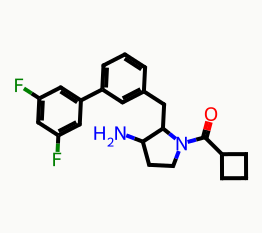 NC1CCN(C(=O)C2CCC2)C1Cc1cccc(-c2cc(F)cc(F)c2)c1